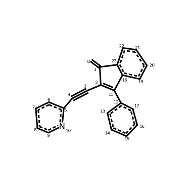 C=C1C(C#Cc2ccccn2)=C(c2ccccc2)c2ccccc21